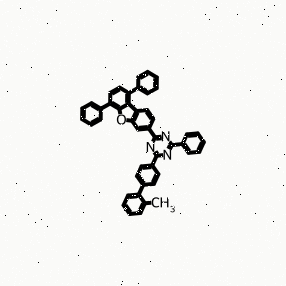 Cc1ccccc1-c1ccc(-c2nc(-c3ccccc3)nc(-c3ccc4c(c3)oc3c(-c5ccccc5)ccc(-c5ccccc5)c34)n2)cc1